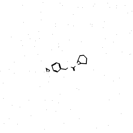 C1CN1.O=C(OCc1ccccc1)N1C2CCCCC21